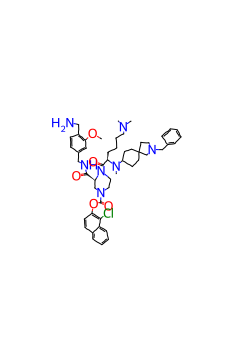 COc1cc(CNC(=O)[C@@H]2CN(C(=O)Oc3ccc4ccccc4c3Cl)CCN2C(=O)[C@@H](CCCCN(C)C)N(C)C2CCC3(CC2)CCN(Cc2ccccc2)C3)ccc1CN